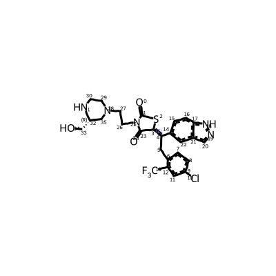 O=C1S/C(=C(/Cc2ccc(Cl)cc2C(F)(F)F)c2ccc3[nH]ncc3c2)C(=O)N1CCN1CCN[C@@H](CO)C1